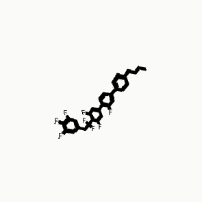 CCCCc1ccc(-c2ccc(-c3cc(F)c(C(F)(F)Cc4cc(F)c(F)c(F)c4)c(F)c3)c(F)c2)cc1